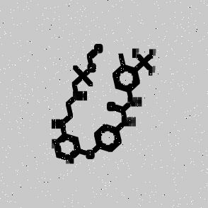 Cc1ccc(NC(=O)Nc2ccc(Oc3cc(NCCNCC(C)(C)OC=O)ncn3)cc2)cc1C(F)(F)F